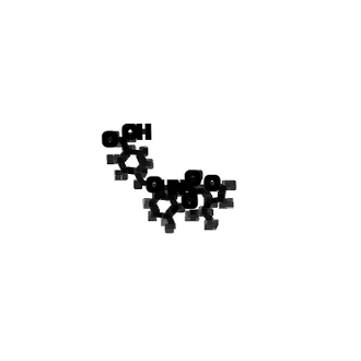 Cc1ccc(OCc2ccc(C(=O)O)cc2)c(NS(=O)(=O)c2occc2C(C)C)c1